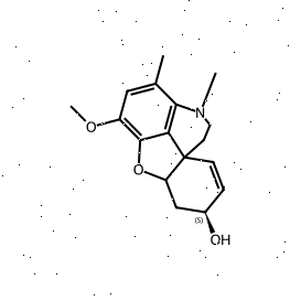 COc1cc(C)c2c3c1OC1C[C@H](O)C=CC31CCN2C